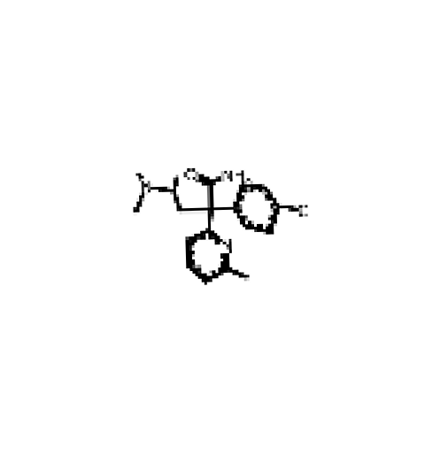 Cc1cccc(C(CC(C)N(C)C)(C(N)=O)c2ccc(Cl)cc2)n1